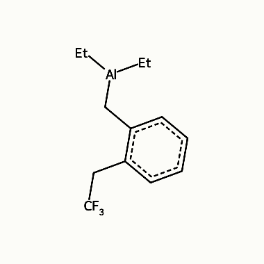 C[CH2][Al]([CH2]C)[CH2]c1ccccc1CC(F)(F)F